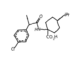 CC(C(=O)NC1(C(=O)O)CCC(C(C)C)CC1)c1ccc(Cl)cc1